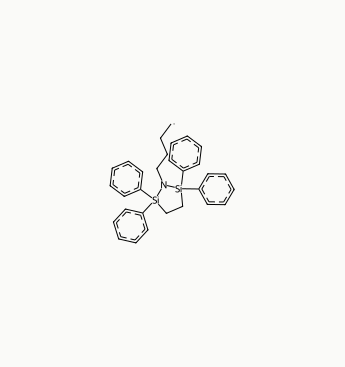 [CH2]CCCN1[Si](c2ccccc2)(c2ccccc2)CC[Si]1(c1ccccc1)c1ccccc1